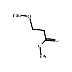 CCCCOCCC(=O)OCCC